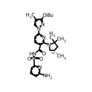 Cc1cn(-c2ccc(C(=O)NS(=O)(=O)c3cccc(N)n3)c(N3C[C@@H](C)CC3(C)C)n2)nc1OCC(C)C